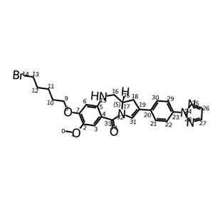 COc1cc2c(cc1OCCCCCBr)NC[C@@H]1CC(c3ccc(-n4nccn4)cc3)=CN1C2=O